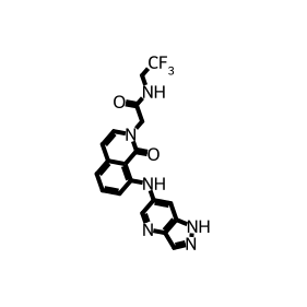 O=C(Cn1ccc2cccc(Nc3cnc4cn[nH]c4c3)c2c1=O)NCC(F)(F)F